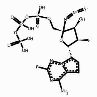 [N-]=[N+]=N[C@@]1(COP(=O)(O)OP(=O)(O)OP(=O)(O)O)O[C@@H](c2ccc3c(N)nc(F)nn23)[C@H](F)[C@@H]1O